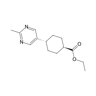 CCOC(=O)[C@H]1CC[C@H](c2cnc(C)nc2)CC1